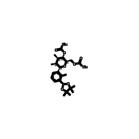 Cc1c(B2OC(C)(C)C(C)(C)O2)cccc1[C@H]1O[C@H](COC(=O)C(C)(C)C)[C@@H](OC(=O)C(C)(C)C)[C@H](C)[C@@H]1C